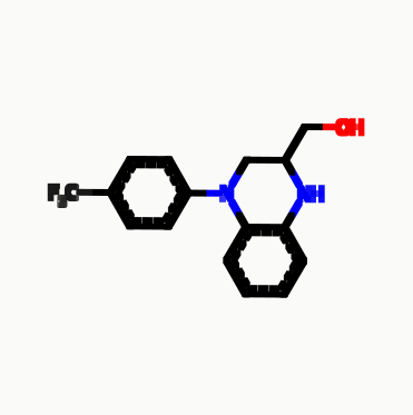 OCC1CN(c2ccc(C(F)(F)F)cc2)c2ccccc2N1